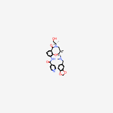 C[C@@H]1CN([C@@H](C)CO)C(=O)c2cccc(NC(=O)c3ccncc3)c2O[C@H]1CN(C)Cc1ccc2c(c1)OCO2